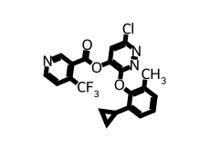 Cc1cccc(C2CC2)c1Oc1nnc(Cl)cc1OC(=O)c1cnccc1C(F)(F)F